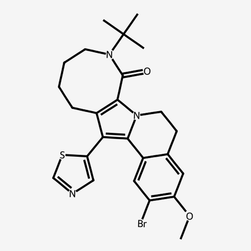 COc1cc2c(cc1Br)-c1c(-c3cncs3)c3c(n1CC2)C(=O)N(C(C)(C)C)CCCC3